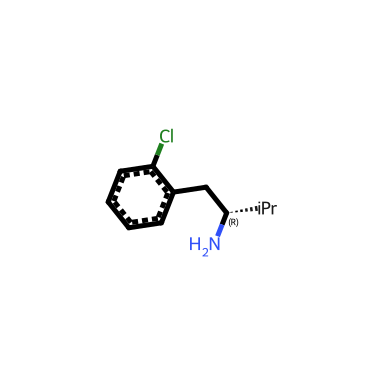 CC(C)[C@H](N)Cc1ccccc1Cl